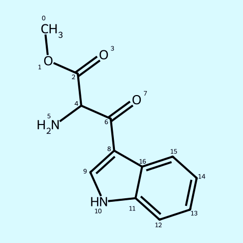 COC(=O)C(N)C(=O)c1c[nH]c2ccccc12